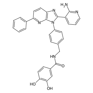 Nc1ncccc1-c1nc2ccc(-c3ccccc3)nc2n1-c1ccc(CNC(=O)c2ccc(O)c(O)c2)cc1